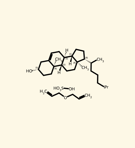 C=CCOCC=C.CC(C)CCCC(C)[C@H]1CC[C@H]2[C@@H]3CC=C4C[C@@H](O)CC[C@]4(C)[C@H]3CC[C@]12C.O=S(=O)(O)O